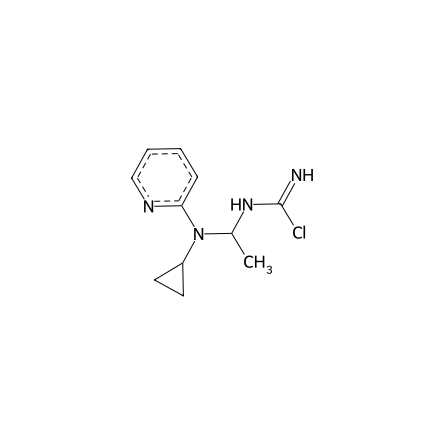 CC(NC(=N)Cl)N(c1ccccn1)C1CC1